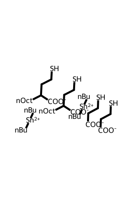 CCCCCCCCC(CCS)C(=O)[O-].CCCCCCCCC(CCS)C(=O)[O-].CCC[CH2][Sn+2][CH2]CCC.CCC[CH2][Sn+2][CH2]CCC.O=C([O-])CCS.O=C([O-])CCS